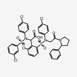 O=C(O)C(c1c(Cl)cccc1S(=O)(=O)N(CC(=O)N1CCCC1c1ccccc1)c1ccc(Cl)cc1)N(c1ccc(Cl)cc1)S(=O)(=O)c1cccc(Cl)c1